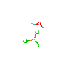 ClP(Cl)Cl.FOF